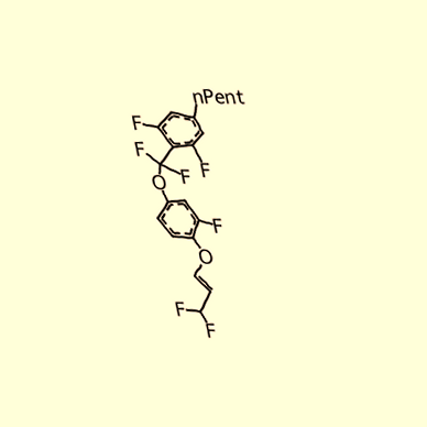 CCCCCc1cc(F)c(C(F)(F)Oc2ccc(O/C=C/C(F)F)c(F)c2)c(F)c1